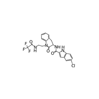 O=C(NC1Cc2ccccc2N(CCNC(=O)C(F)(F)F)C1=O)c1cc2cc(Cl)ccc2[nH]1